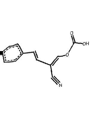 N#CC(C=Cc1ccccc1)=COC(=O)O